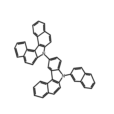 c1ccc2cc(-n3c4ccc(-n5c6ccc7ccccc7c6c6c7ccccc7ccc65)cc4c4c5ccccc5ccc43)ccc2c1